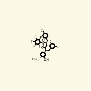 O=C(O)c1ccc(N(Cc2cc(Cl)cc(Br)c2)C(=O)CN(Cc2ccc(Cl)cc2)S(=O)(=O)c2c(F)c(F)c(F)c(F)c2F)cc1O